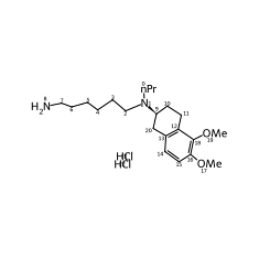 CCCN(CCCCCCN)[C@H]1CCc2c(ccc(OC)c2OC)C1.Cl.Cl